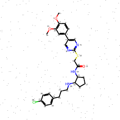 COc1ccc(-c2cnc(SCC(=O)NC3CCCC3NCCCc3ccc(Cl)cc3)nc2)cc1OC